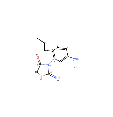 CCCc1ccc(NC)cc1N1C(=N)SCC1=O